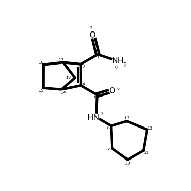 NC(=O)C1=C(C(=O)NC2CCCCC2)C2CCC1C2